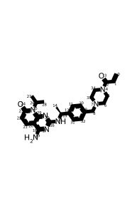 C=CC(=O)N1CCN(Cc2ccc([C@H](C)Nc3nc(N)c4ccc(=O)n(C(C)C)c4n3)cc2)CC1